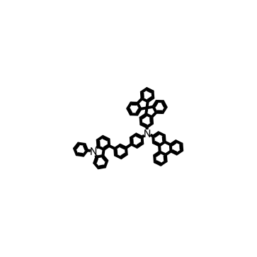 c1ccc(-n2c3ccccc3c3c(-c4cccc(-c5ccc(N(c6ccc7c(c6)-c6ccccc6C76c7ccccc7-c7ccccc76)c6ccc7c8ccccc8c8ccccc8c7c6)cc5)c4)cccc32)cc1